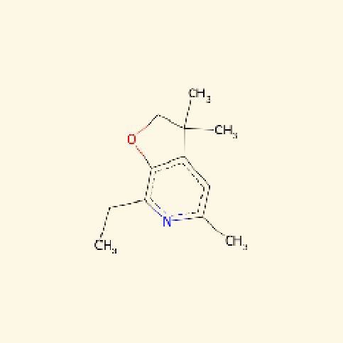 CCc1nc(C)cc2c1OCC2(C)C